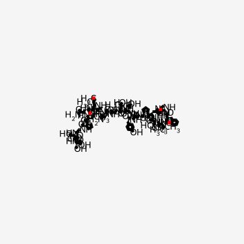 CC[C@H](C)[C@H](NC(=O)CNC(=O)[C@H](CC(N)=O)NC(=O)CNC(=O)[C@@H](NC(=O)[C@H](CC(=O)O)NC(=O)[C@H](Cc1ccc(O)cc1)NC(=O)CNC(=O)[C@@H]1CCCN1C(=O)[C@H](Cc1c[nH]cn1)NC(=O)[C@@H](NC(=O)[C@@H](NC(=O)[C@H](Cc1ccccc1)NC(=O)[C@@H]1CCCN1)C(C)C)[C@@H](C)O)[C@@H](C)O)C(=O)N[C@@H](CCC(N)=O)C(=O)N[C@@H](CC(C)C)C(=O)N1CCC[C@H]1C(=O)NCC(=O)N[C@H](C(=O)N[C@@H](CO)C(=O)O)[C@@H](C)O